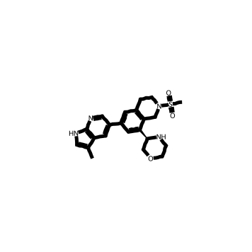 Cc1c[nH]c2ncc(-c3cc4c(c([C@@H]5COCCN5)c3)CN(S(C)(=O)=O)CC4)cc12